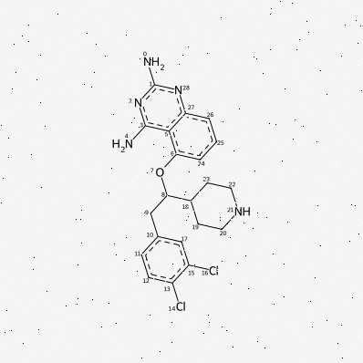 Nc1nc(N)c2c(OC(Cc3ccc(Cl)c(Cl)c3)C3CCNCC3)cccc2n1